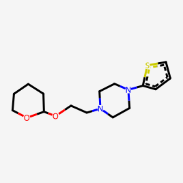 c1csc(N2CCN(CCOC3CCCCO3)CC2)c1